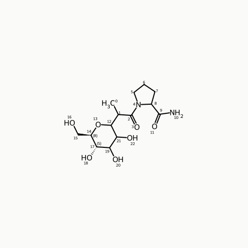 CC(C(=O)N1CCCC1C(N)=O)C1O[C@H](CO)[C@@H](O)C(O)C1O